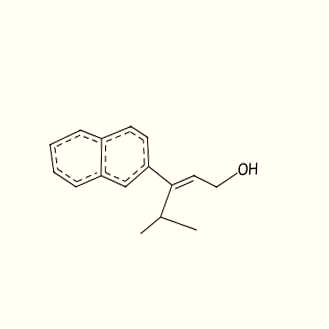 CC(C)C(=CCO)c1ccc2ccccc2c1